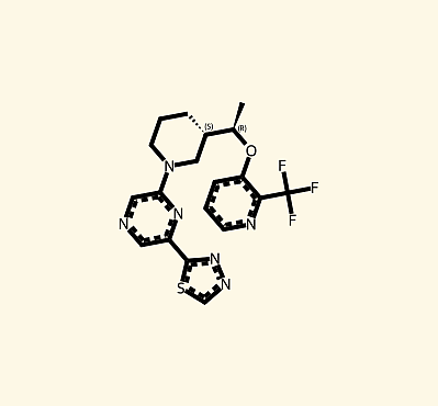 C[C@@H](Oc1cccnc1C(F)(F)F)[C@H]1CCCN(c2cncc(-c3nncs3)n2)C1